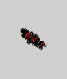 c1ccc(-c2ccccc2B2c3cnccc3Oc3c2ccc2c3B(c3cccc(-c4cccc5c4c4ccc6c(nc7n(-c8ccccc8)c8ccccc8n67)c4n5-c4cccc(B5c6ccccc6Oc6c5ccc5c6B(c6ccccc6-c6ccccc6)c6ccccc6O5)c4)c3-c3ccccc3)c3ccncc3O2)cc1